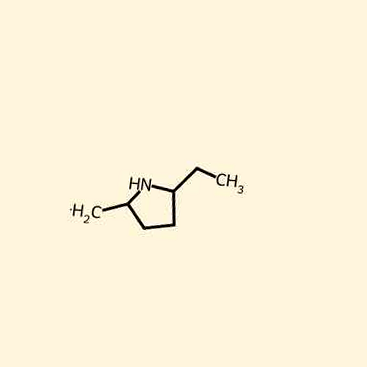 [CH2]C1CCC(CC)N1